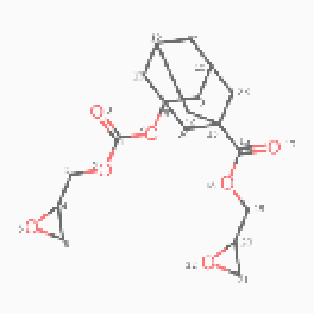 O=C(OCC1CO1)OC12CC3CC(C1)CC(C(=O)OCC1CO1)(C3)C2